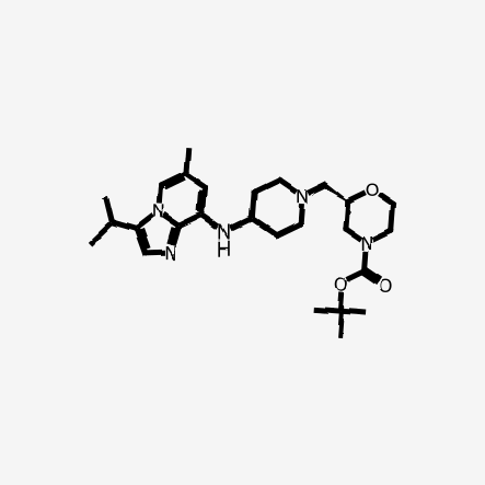 Cc1cc(NC2CCN(C[C@@H]3CN(C(=O)OC(C)(C)C)CCO3)CC2)c2ncc(C(C)C)n2c1